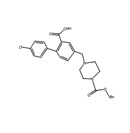 COC(=O)c1cc(CN2CCN(C(=O)OC(C)(C)C)CC2)ccc1-c1ccc(Cl)cc1